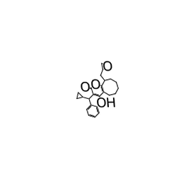 O=c1oc2c(c(O)c1C(c1ccccc1)C1CC1)CCCCCC2CC1CO1